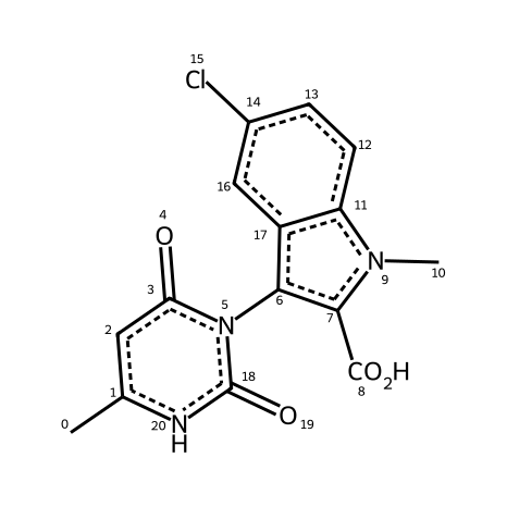 Cc1cc(=O)n(-c2c(C(=O)O)n(C)c3ccc(Cl)cc23)c(=O)[nH]1